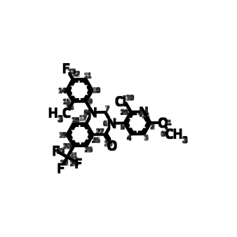 COc1ccc(N2CN(c3ccc(F)cc3C)c3ccc(C(F)(F)F)cc3C2=O)c(Cl)n1